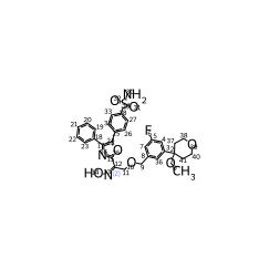 COC1(c2cc(F)cc(COC/C(=N/O)c3nc(-c4ccccc4)c(-c4ccc(S(N)(=O)=O)cc4)o3)c2)CCOCC1